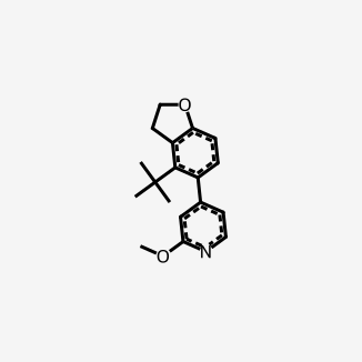 COc1cc(-c2ccc3c(c2C(C)(C)C)CCO3)ccn1